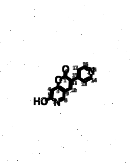 O=c1oc2cc(O)ncc2cc1-c1ccncc1